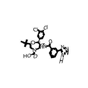 CC(C)(C)C1CN(C(=O)O)C[C@@H](CNC(=O)c2cccc(-c3nnn[nH]3)c2)[C@H](c2ccc(Cl)c(Cl)c2)O1